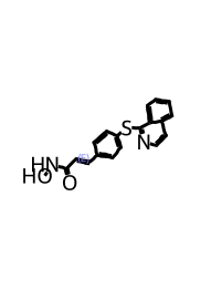 O=C(/C=C/c1ccc(Sc2nccc3ccccc23)cc1)NO